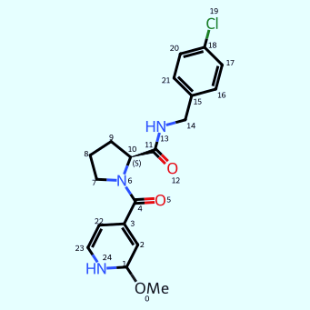 COC1C=C(C(=O)N2CCC[C@H]2C(=O)NCc2ccc(Cl)cc2)C=CN1